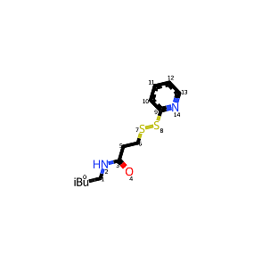 CCC(C)CNC(=O)CCSSc1ccccn1